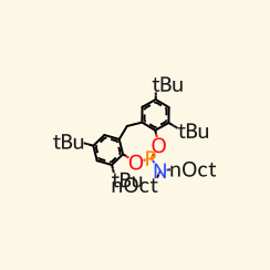 CCCCCCCCN(CCCCCCCC)P1Oc2c(cc(C(C)(C)C)cc2C(C)(C)C)Cc2cc(C(C)(C)C)cc(C(C)(C)C)c2O1